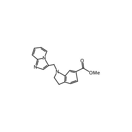 COC(=O)c1ccc2c(c1)N(Cc1cnc3ccccn13)CC2